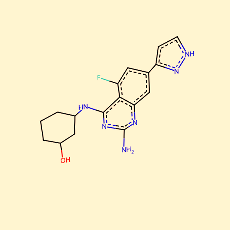 Nc1nc(NC2CCCC(O)C2)c2c(F)cc(-c3cc[nH]n3)cc2n1